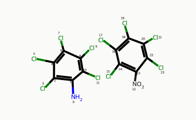 Nc1c(Cl)c(Cl)c(Cl)c(Cl)c1Cl.O=[N+]([O-])c1c(Cl)c(Cl)c(Cl)c(Cl)c1Cl